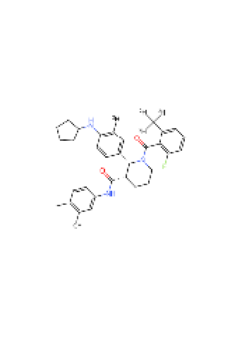 [2H]c1cc([C@H]2[C@@H](C(=O)Nc3ccc(C)c(C(F)(F)F)c3)CCCN2C(=O)c2c(F)cccc2C([2H])([2H])[2H])ccc1NC1CCCC1